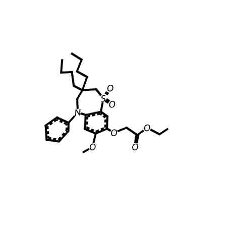 CCCCC1(CCCC)CN(c2ccccc2)c2cc(OC)c(OCC(=O)OCC)cc2S(=O)(=O)C1